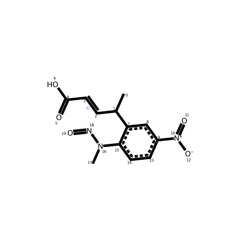 CC(/C=C/C(=O)O)c1cc([N+](=O)[O-])ccc1N(C)N=O